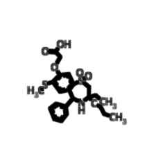 CCCCC1(CC)CS(=O)(=O)c2cc(OCC(=O)O)c(SC)cc2C(c2ccccc2)N1